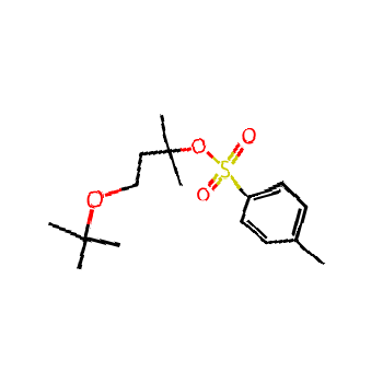 Cc1ccc(S(=O)(=O)OC(C)(C)CCOC(C)(C)C)cc1